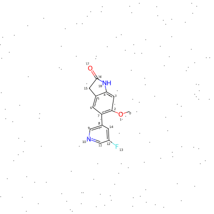 COc1cc2c(cc1-c1cncc(F)c1)CC(=O)N2